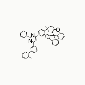 CC1C=CC=CC1c1cccc(-c2cc(-c3ccc(C4(C)C=CC5=C(C4)C4(c6ccccc6O5)c5ccccc5-c5ccccc54)cc3)nc(-c3ccccc3)n2)c1